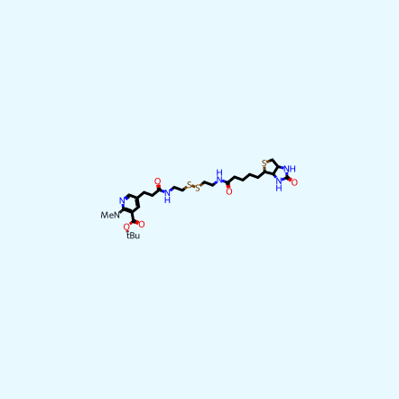 CNc1ncc(CCC(=O)NCCSSCCNC(=O)CCCCC2SCC3NC(=O)NC32)cc1C(=O)OC(C)(C)C